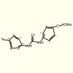 COCc1ccc(NC(=O)Nc2ccc(C)cc2)cc1